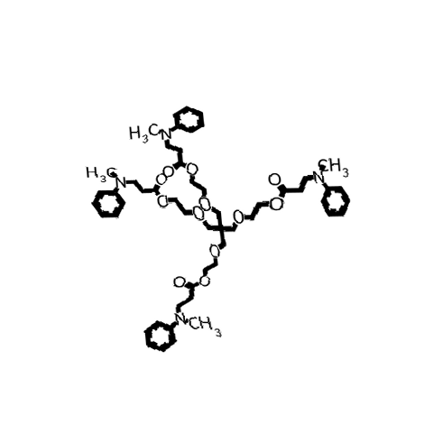 CN(CCC(=O)OCCOCC(COCCOC(=O)CCN(C)c1ccccc1)(COCCOC(=O)CCN(C)c1ccccc1)COCCOC(=O)CCN(C)c1ccccc1)c1ccccc1